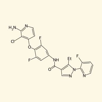 CCc1c(C(=O)Nc2cc(F)c(Oc3ccnc(N)c3Cl)c(F)c2)cnn1-c1ncccc1F